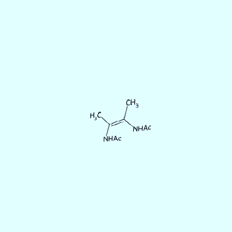 CC(=O)N/C(C)=C(/C)NC(C)=O